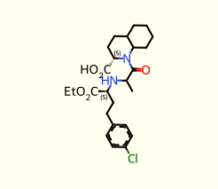 CCOC(=O)[C@H](CCc1ccc(Cl)cc1)NC(C)C(=O)N1C2CCCCC2CC[C@H]1C(=O)O